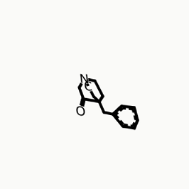 O=C1CN2CCC1(Cc1ccccc1)CC2